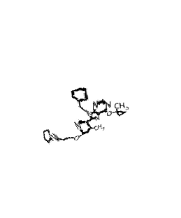 Cc1cc(OCCN2CCCC2)ncc1-c1nc2c(OC3(C)CC3)ncnc2n1Cc1ccccc1